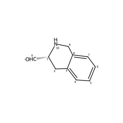 O=[C][C@H]1Cc2ccccc2CN1